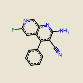 N#Cc1c(N)nc2cnc(F)cc2c1-c1ccccc1